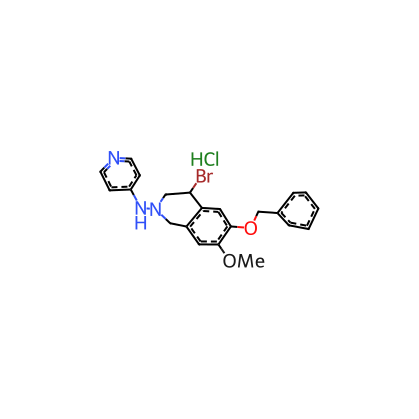 COc1cc2c(cc1OCc1ccccc1)C(Br)CN(Nc1ccncc1)C2.Cl